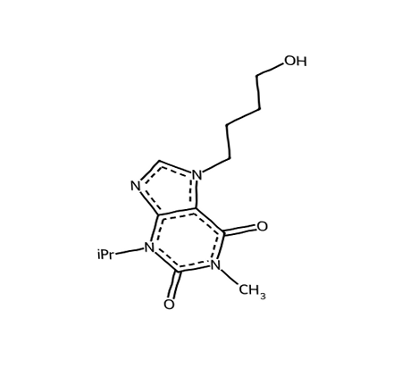 CC(C)n1c(=O)n(C)c(=O)c2c1ncn2CCCCO